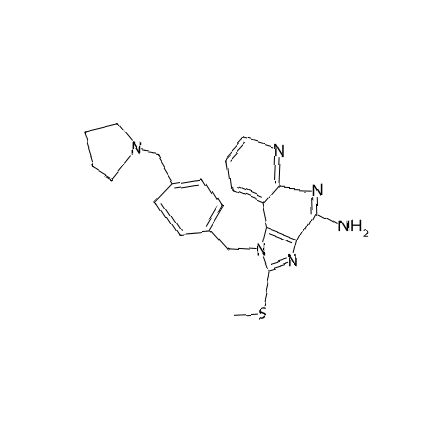 CSc1nc2c(N)nc3ncccc3c2n1Cc1ccc(CN2CCCC2)cc1